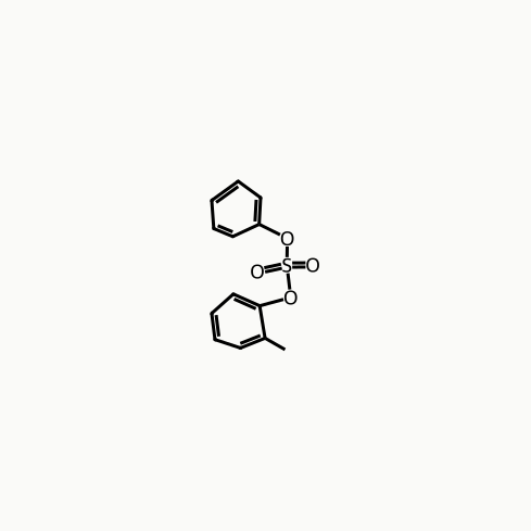 Cc1ccccc1OS(=O)(=O)Oc1ccccc1